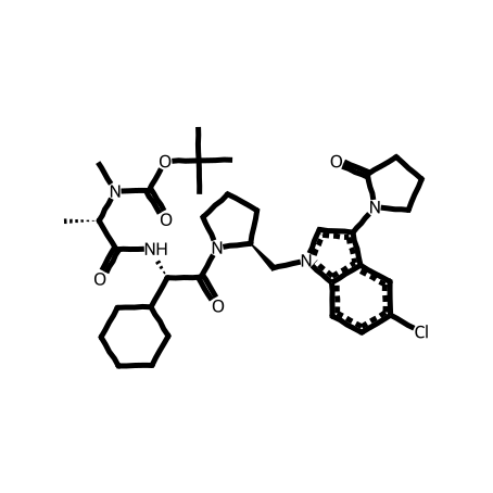 C[C@@H](C(=O)N[C@H](C(=O)N1CCC[C@H]1Cn1cc(N2CCCC2=O)c2cc(Cl)ccc21)C1CCCCC1)N(C)C(=O)OC(C)(C)C